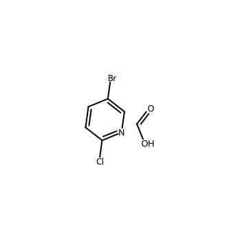 Clc1ccc(Br)cn1.O=CO